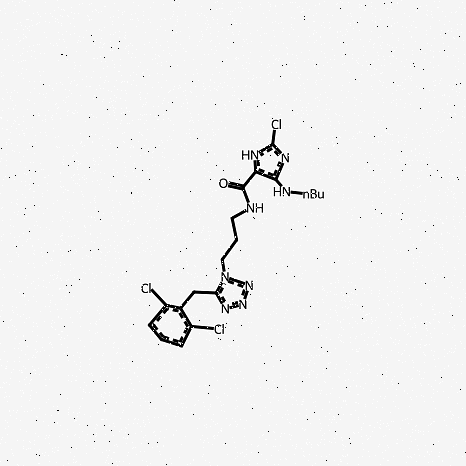 CCCCNc1nc(Cl)[nH]c1C(=O)NCCCn1nnnc1Cc1c(Cl)cccc1Cl